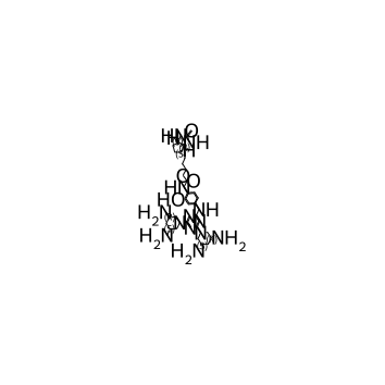 N[C@@H]1C[C@H](N)CN(c2nc(Nc3ccc(NC(=O)OCCC[C@@H]4CC[C@@H]5NC(=O)N[C@H]45)c(O)c3)nc(N3C[C@H](N)C[C@H](N)C3)n2)C1